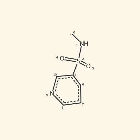 [CH2]NS(=O)(=O)c1cccnc1